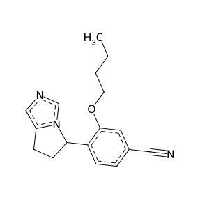 CCCCOc1cc(C#N)ccc1C1CCc2cncn21